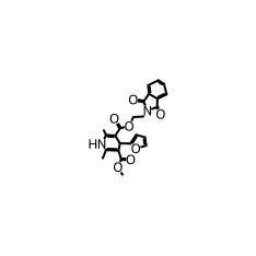 COC(=O)C1=C(C)NC(C)=C(C(=O)OCCN2C(=O)c3ccccc3C2=O)C1c1ccco1